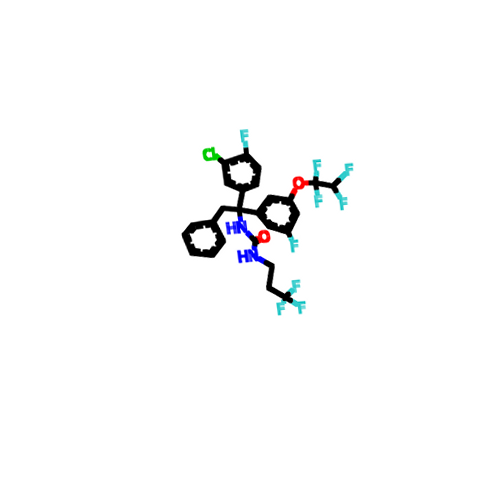 O=C(NCCC(F)(F)F)NC(Cc1ccccc1)(c1cc(F)cc(OC(F)(F)C(F)F)c1)c1ccc(F)c(Cl)c1